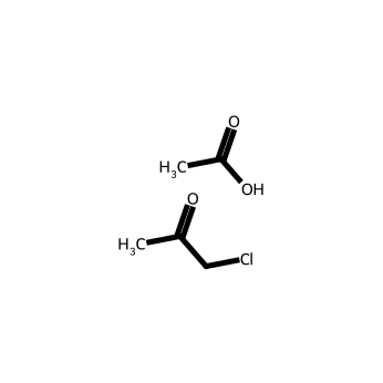 CC(=O)CCl.CC(=O)O